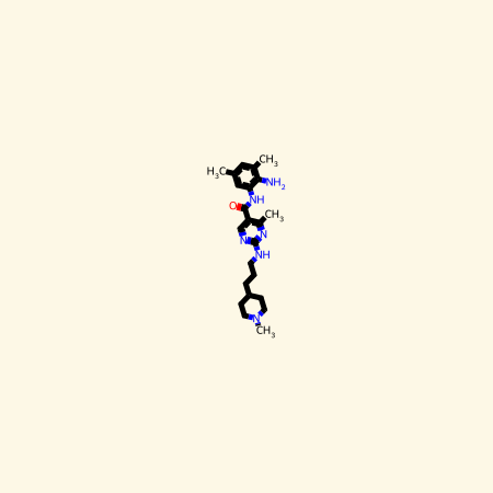 Cc1cc(C)c(N)c(NC(=O)c2cnc(NCCCC3CCN(C)CC3)nc2C)c1